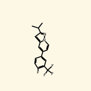 CC(C)c1cc2cc(-c3ccc(F)c(C(F)(F)F)c3)ccn2n1